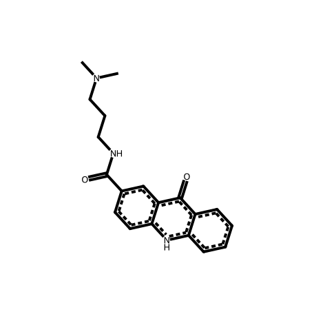 CN(C)CCCNC(=O)c1ccc2[nH]c3ccccc3c(=O)c2c1